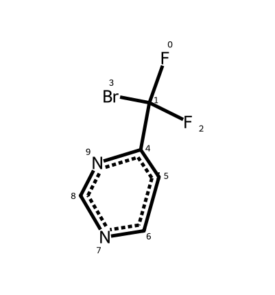 FC(F)(Br)c1[c]cncn1